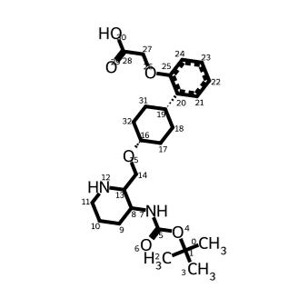 CC(C)(C)OC(=O)NC1CCCNC1CO[C@H]1CC[C@@H](c2ccccc2OCC(=O)O)CC1